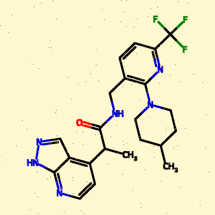 CC1CCN(c2nc(C(F)(F)F)ccc2CNC(=O)C(C)c2ccnc3[nH]ncc23)CC1